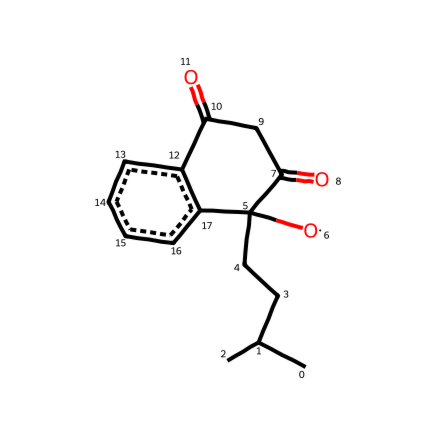 CC(C)CCC1([O])C(=O)CC(=O)c2ccccc21